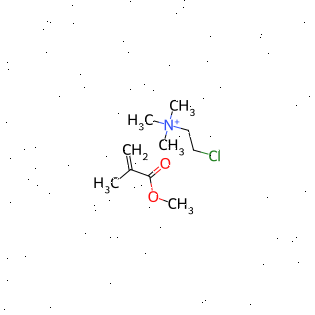 C=C(C)C(=O)OC.C[N+](C)(C)CCCl